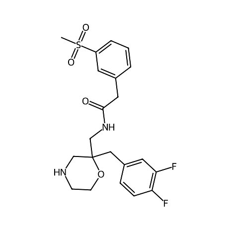 CS(=O)(=O)c1cccc(CC(=O)NCC2(Cc3ccc(F)c(F)c3)CNCCO2)c1